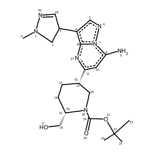 CN1CC(c2cnn3c(N)cc([C@H]4CC[C@@H](CO)N(C(=O)OC(C)(C)C)C4)nc23)C=N1